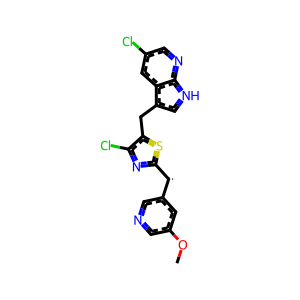 COc1cncc([CH]c2nc(Cl)c(Cc3c[nH]c4ncc(Cl)cc34)s2)c1